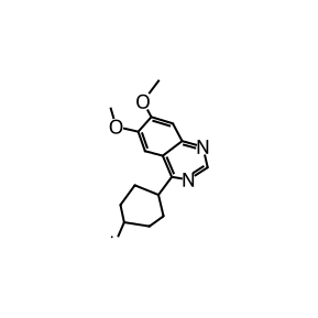 [CH2]C1CCC(c2ncnc3cc(OC)c(OC)cc23)CC1